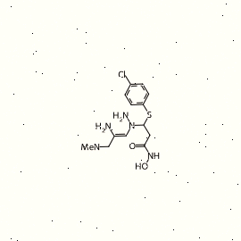 CNC/C(N)=C/N(N)C(CC(=O)NO)Sc1ccc(Cl)cc1